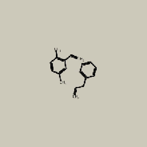 C=CCc1ccccc1.C=Cc1cc(C)ccc1C